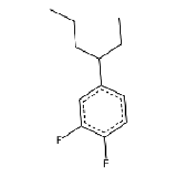 CCCC(CC)c1ccc(F)c(F)c1